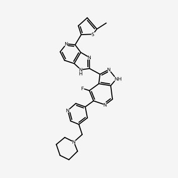 Cc1ccc(-c2nccc3[nH]c(-c4n[nH]c5cnc(-c6cncc(CN7CCCCC7)c6)c(F)c45)nc23)s1